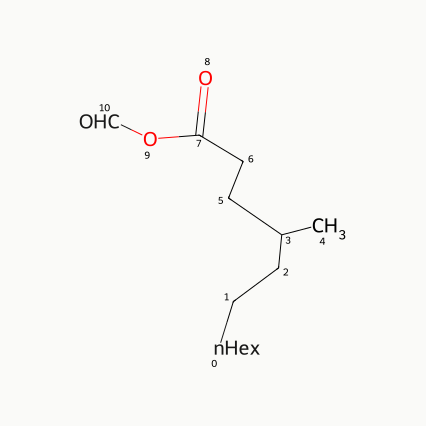 CCCCCCCCC(C)CCC(=O)OC=O